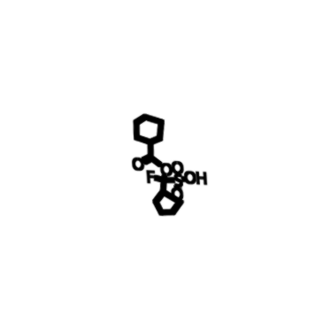 O=C(OC(F)(C1CCCC1)S(=O)(=O)O)C1CCCCC1